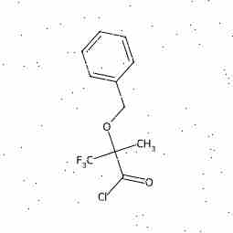 CC(OCc1ccccc1)(C(=O)Cl)C(F)(F)F